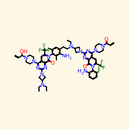 C=CC(=O)N1CCN(c2nc(N3CC(N(CC)CCc4cc(C)c(-n5c(C(F)(F)F)cc6c(N7CCN(C(O)C=C)CC7)nc(N7CC(N(CC)CC)C7)nc6c5=O)c(C)c4N)C3)nc3c(=O)n(-c4c(N)cccc4F)c(C(F)(F)F)cc23)CC1